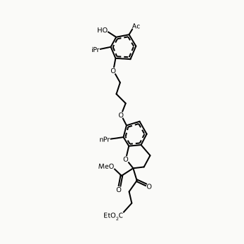 CCCc1c(OCCCOc2ccc(C(C)=O)c(O)c2C(C)C)ccc2c1OC(C(=O)CCC(=O)OCC)(C(=O)OC)CC2